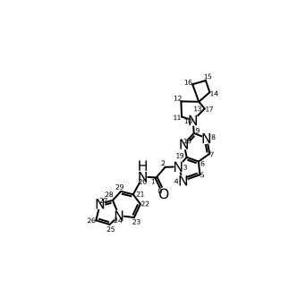 O=C(Cn1ncc2cnc(N3CCC4(CCC4)C3)nc21)Nc1ccn2ccnc2c1